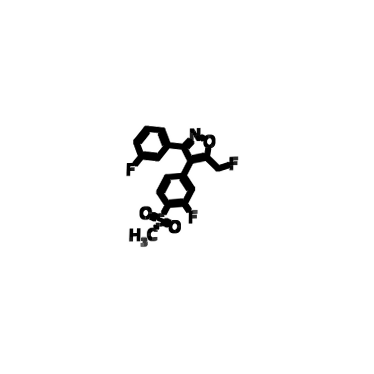 CS(=O)(=O)c1ccc(-c2c(-c3cccc(F)c3)noc2CF)cc1F